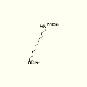 CCCCCCCCCCCCCCCCCCCCNCCCCCCCCC